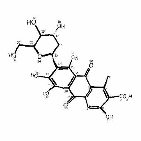 Cc1c(C(=O)O)c(O)cc2c1C(=O)c1c(O)c([C@@H]3C[C@@H](O)C(O)C(CO)O3)c(O)c(O)c1C2=O